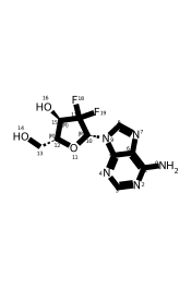 Nc1ncnc2c1ncn2[C@@H]1O[C@H](CO)[C@@H](O)C1(F)F